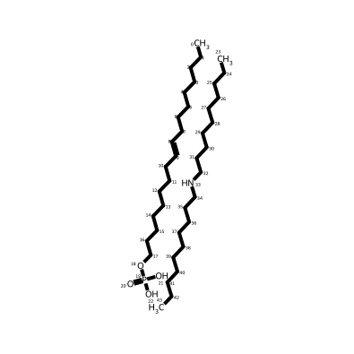 CCCCCCCCC=CCCCCCCCCOP(=O)(O)O.CCCCCCCCCCNCCCCCCCCCC